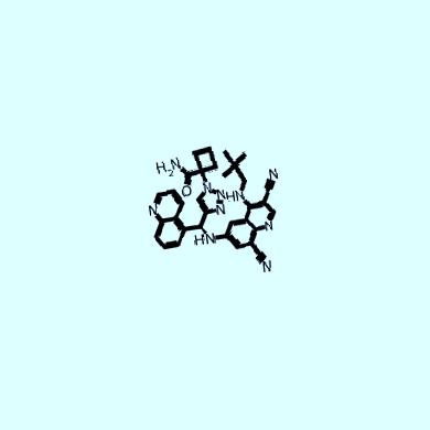 CC(C)(C)CNc1c(C#N)cnc2c(C#N)cc(N[C@H](c3cn(C4(C(N)=O)CCC4)nn3)c3cccc4ncccc34)cc12